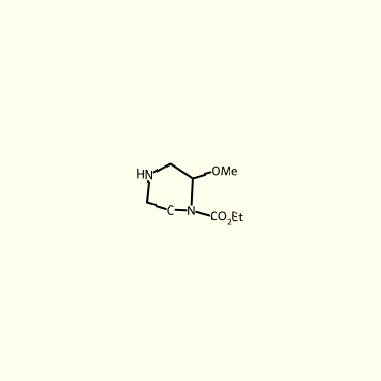 CCOC(=O)N1CCNCC1OC